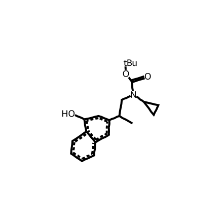 CC(CN(C(=O)OC(C)(C)C)C1CC1)c1cc(O)c2ccccc2c1